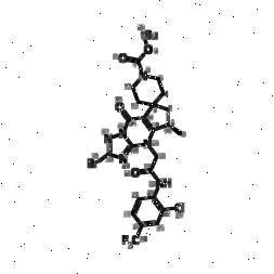 C[C@@H]1CC2(CCN(C(=O)OC(C)(C)C)CC2)c2c1n(CC(=O)Nc1ccc(C(F)(F)F)cc1Cl)c1nc(Br)nn1c2=O